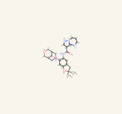 CC1(C)Cc2cc(NC(=O)c3cnn4cccnc34)c(N3CC4COCC(C3)C4O)cc2O1